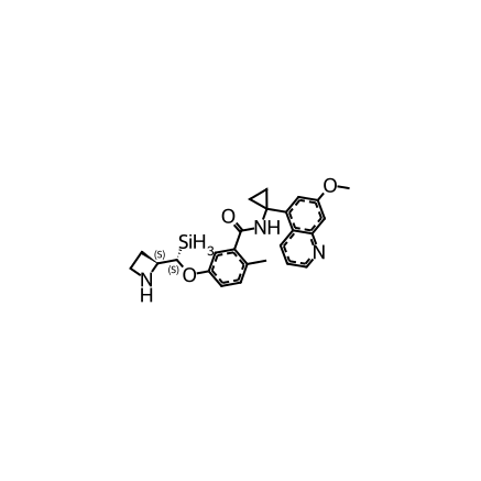 COc1cc(C2(NC(=O)c3cc(O[C@@H]([SiH3])[C@@H]4CCN4)ccc3C)CC2)c2cccnc2c1